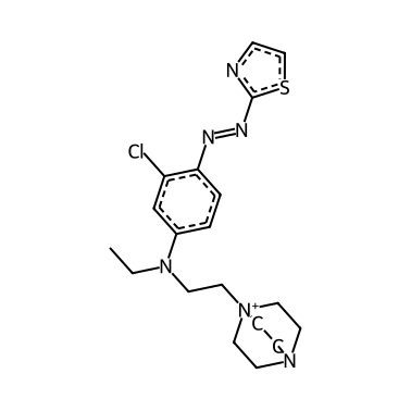 CCN(CC[N+]12CCN(CC1)CC2)c1ccc(N=Nc2nccs2)c(Cl)c1